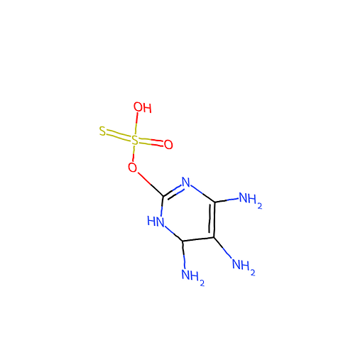 NC1=C(N)C(N)NC(OS(=O)(O)=S)=N1